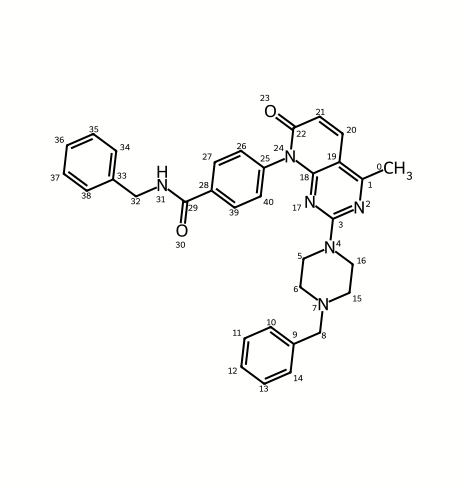 Cc1nc(N2CCN(Cc3ccccc3)CC2)nc2c1ccc(=O)n2-c1ccc(C(=O)NCc2ccccc2)cc1